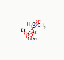 CCCCCCCCCCOC(COCC[N+](C)(C)[O-])(OCC)OCC